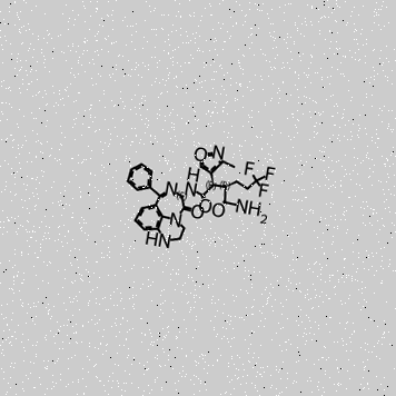 Cc1nocc1[C@H](C(=O)N[C@H]1N=C(c2ccccc2)c2cccc3c2N(CCN3)C1=O)[C@@H](CCC(F)(F)F)C(N)=O